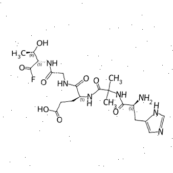 C[C@@H](O)[C@H](NC(=O)CNC(=O)[C@H](CCC(=O)O)NC(=O)C(C)(C)NC(=O)[C@@H](N)Cc1cnc[nH]1)C(=O)F